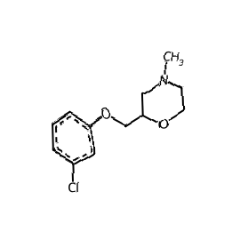 CN1CCOC(COc2cccc(Cl)c2)C1